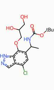 CC(NC(=O)OC(C)(C)C)c1cc(Cl)c2cn[nH]c2c1OCC(O)CO